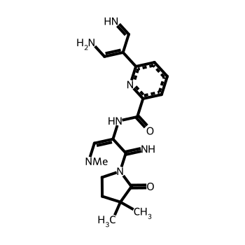 CN/C=C(/NC(=O)c1cccc(/C(C=N)=C/N)n1)C(=N)N1CCC(C)(C)C1=O